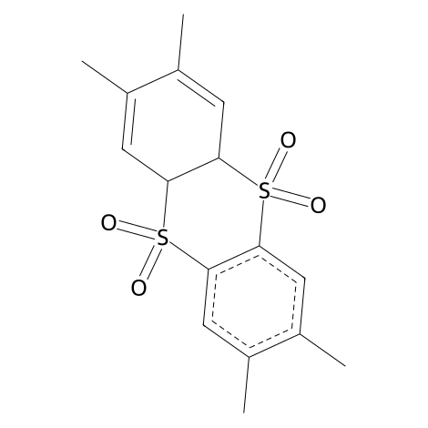 CC1=CC2C(C=C1C)S(=O)(=O)c1cc(C)c(C)cc1S2(=O)=O